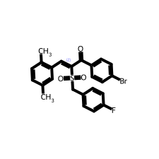 Cc1ccc(C)c(/C=C(/C(=O)c2ccc(Br)cc2)S(=O)(=O)Cc2ccc(F)cc2)c1